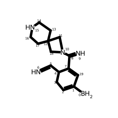 BC1=CCC(C=N)C(C(=N)N2CC3(CCNCC3)C2)=C1